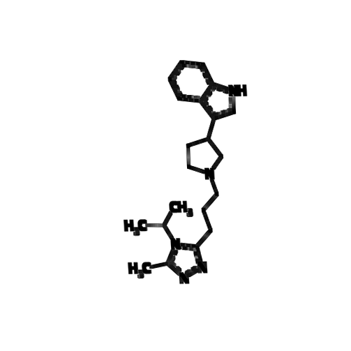 Cc1nnc(CCCN2CCC(c3c[nH]c4ccccc34)C2)n1C(C)C